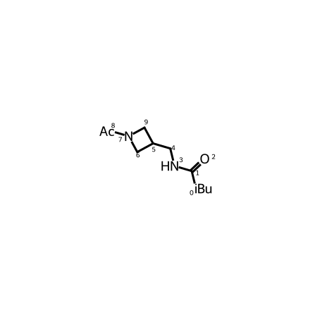 CCC(C)C(=O)NCC1CN(C(C)=O)C1